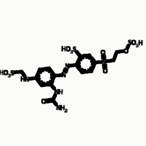 NC(=O)Nc1cc(NCS(=O)(=O)O)ccc1/N=N/c1ccc(S(=O)(=O)CCOS(=O)(=O)O)cc1S(=O)(=O)O